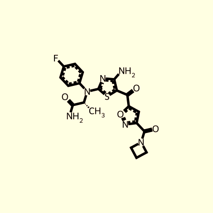 C[C@H](C(N)=O)N(c1ccc(F)cc1)c1nc(N)c(C(=O)c2cc(C(=O)N3CCC3)no2)s1